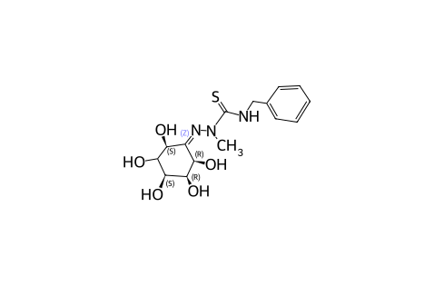 CN(/N=C1\[C@@H](O)[C@@H](O)[C@@H](O)C(O)[C@H]1O)C(=S)NCc1ccccc1